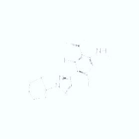 CC(=O)c1c(N)cc(F)c(-c2ccn(C3CCCCO3)n2)c1F